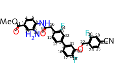 COC(=O)c1ccc(NC(=O)Cc2ccc(-c3ccc(F)c(OCc4ccc(C#N)cc4F)c3)cc2F)c(N)c1